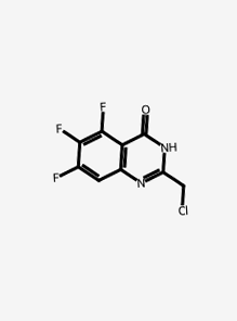 O=c1[nH]c(CCl)nc2cc(F)c(F)c(F)c12